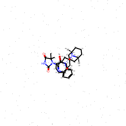 CC1(C)C(=O)NC(=O)N1c1nc2ccccc2n([C@H]2C[C@H]3CCC[C@@H](C2)N3[C@@H]2C[C@@H]3CCCC[C@@H](C3)C2)c1=O